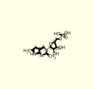 C=C1N=c2[nH]c(C)cc2=CN1[C@@H]1OC(COP(=O)(O)O)[C@@H](O)[C@H]1O